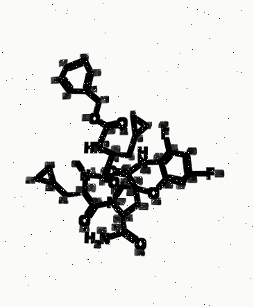 CN(C(=O)[C@H](CC1CC1)NC(=O)OCc1ccccc1)[C@@H](CC1CC1)C(=O)N1C[C@@]2(C[C@H]1C(N)=O)Oc1cc(F)cc(F)c1NC2=O